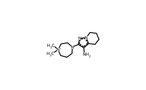 C[N+]1(C)CCCN(c2nn3c(c2N)CCCC3)CC1